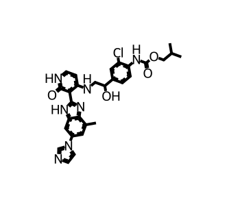 Cc1cc(-n2ccnc2)cc2[nH]c(-c3c(NCC(O)c4ccc(NC(=O)OCC(C)C)c(Cl)c4)cc[nH]c3=O)nc12